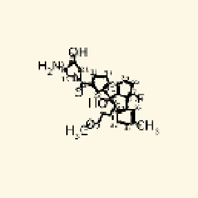 COCCCC[C@](O)(c1cccc(C(=O)N2C[C@@H](N)[C@@H](O)C2)c1)c1cccc(F)c1-c1cccc(C)c1